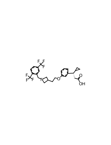 O=C(O)C[C@H](c1cccc(OCCC2CN(Cc3cc(C(F)(F)F)ccc3C(F)(F)F)C2)c1)C1CC1